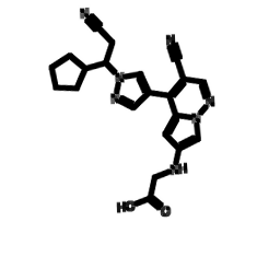 N#CCC(C1CCCC1)n1cc(-c2c(C#N)cnn3cc(NCC(=O)O)cc23)cn1